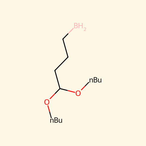 BCCCC(OCCCC)OCCCC